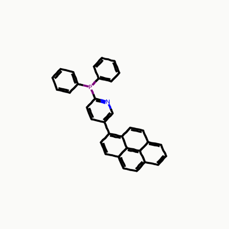 c1ccc(P(c2ccccc2)c2ccc(-c3ccc4ccc5cccc6ccc3c4c56)cn2)cc1